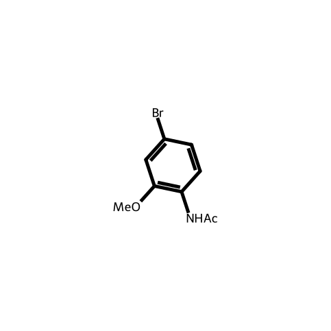 COc1cc(Br)ccc1NC(C)=O